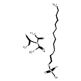 CC(=O)N(C(C)=O)C(C)=O.CCCCCCCCCCCCOS(=O)(=O)O